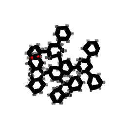 c1ccc(-c2cc(-c3ccccc3)nc(-c3cc(-c4nc(-c5ccccc5)cc(-c5ccccc5)n4)c4cc(N5c6ccccc6Oc6ccccc65)cc(N5c6ccccc6Sc6ccccc65)c4c3)n2)cc1